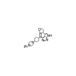 CC(C)N1CCN(C2CCC(Nc3ncnc4[nH]cc(C5CCOCC5)c34)CC2)CC1